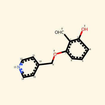 O=Cc1c(O)cccc1OCc1ccncc1